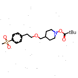 CC(C)(C)C(=O)ON1CCC(COCCc2ccc(S(C)(=O)=O)cc2)CC1